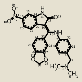 CN(C)Cc1ccc(N/C(=C2\C(=O)Nc3cc([N+](=O)[O-])ccc32)c2ccc3c(c2)OCO3)cc1